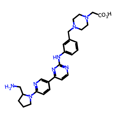 NCC1CCCN1c1ccc(-c2ccnc(Nc3cccc(CN4CCN(CC(=O)O)CC4)c3)n2)cn1